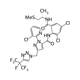 CSC[C@H](C)NC(=O)c1cc(Cl)cc(Cl)c1NC(=O)c1cc(Cn2cc(C(F)(C(F)(F)F)C(F)(F)F)nn2)nn1-c1ncccc1Cl